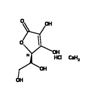 Cl.O=C1O[C@H](C(O)CO)C(O)=C1O.[CaH2]